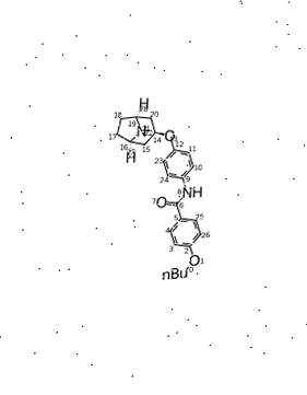 CCCCOc1ccc(C(=O)Nc2ccc(O[C@H]3C[C@H]4CC[C@@H](C3)N4C)cc2)cc1